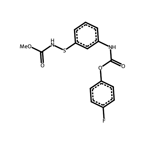 COC(=O)NSc1cccc(NC(=O)Oc2ccc(F)cc2)c1